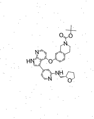 CC(C)(C)OC(=O)N1CCc2ccc(Oc3ccnc4[nH]cc(-c5ccnc(NC[C@H]6CCCO6)c5)c34)cc2C1